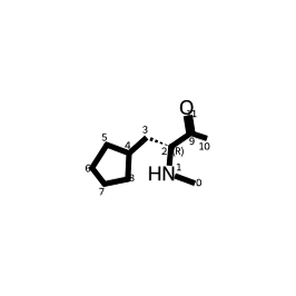 CN[C@H](CC1CCCC1)C(C)=O